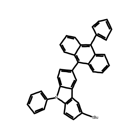 CC(C)(C)c1ccc2c(c1)c1cc(-c3c4ccccc4c(-c4ccccc4)c4ccccc34)ccc1n2-c1ccccc1